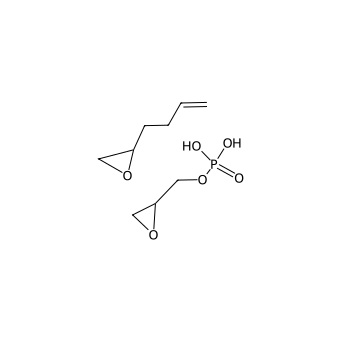 C=CCCC1CO1.O=P(O)(O)OCC1CO1